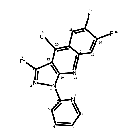 CCc1nn(-c2ccccn2)c2nc3cc(F)c(F)cc3c(Cl)c12